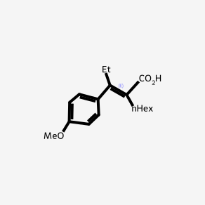 CCCCCC/C(C(=O)O)=C(/CC)c1ccc(OC)cc1